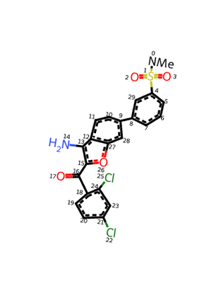 CNS(=O)(=O)c1cccc(-c2ccc3c(N)c(C(=O)c4ccc(Cl)cc4Cl)oc3c2)c1